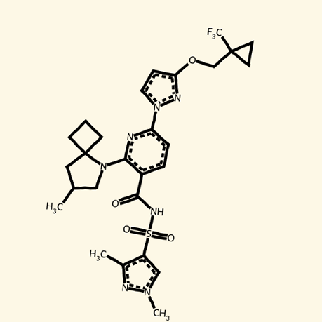 Cc1nn(C)cc1S(=O)(=O)NC(=O)c1ccc(-n2ccc(OCC3(C(F)(F)F)CC3)n2)nc1N1CC(C)CC12CCC2